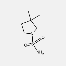 CC1(C)CCN(S(N)(=O)=O)C1